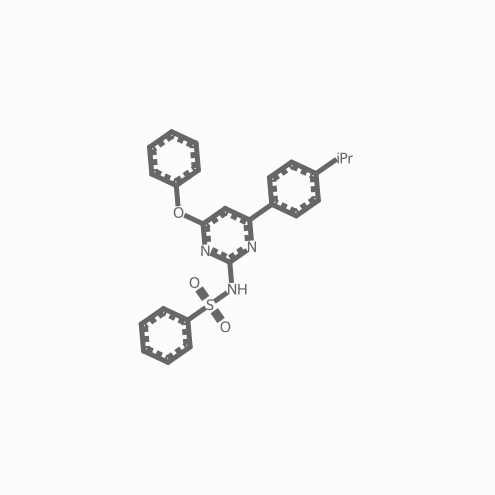 CC(C)c1ccc(-c2cc(Oc3ccccc3)nc(NS(=O)(=O)c3ccccc3)n2)cc1